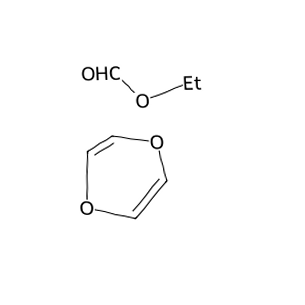 C1=COC=CO1.CCOC=O